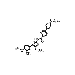 CCCOc1ccc(-c2nc(NC(=O)c3cnc(N4CCC(C(=O)OCC)CC4)cn3)sc2COC(C)=O)cc1C(F)(F)F